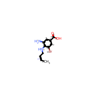 C/C=C\CNc1c(N)cc(C(=O)O)cc1Br